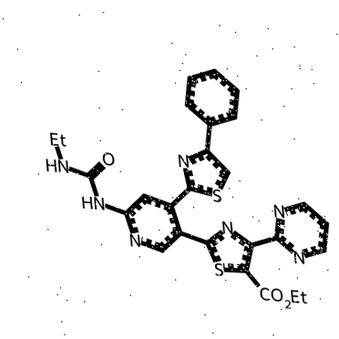 CCNC(=O)Nc1cc(-c2nc(-c3ccccc3)cs2)c(-c2nc(-c3ncccn3)c(C(=O)OCC)s2)cn1